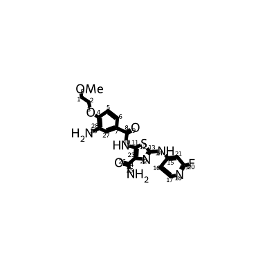 COCCOc1ccc(C(=O)Nc2sc(Nc3ccnc(F)c3)nc2C(N)=O)cc1N